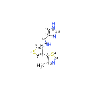 Cc1ncsc1-c1cscc1NCc1c[nH]cn1